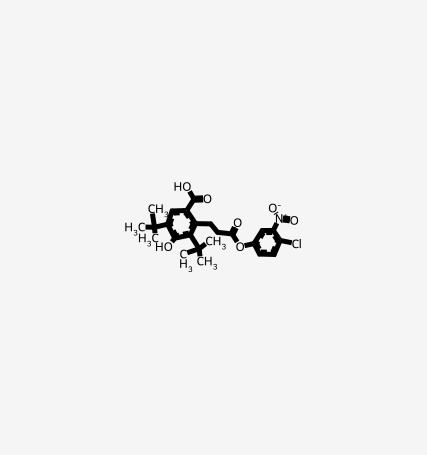 CC(C)(C)c1cc(C(=O)O)c(CCC(=O)Oc2ccc(Cl)c([N+](=O)[O-])c2)c(C(C)(C)C)c1O